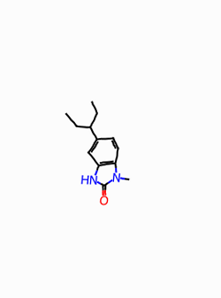 CCC(CC)c1ccc2c(c1)[nH]c(=O)n2C